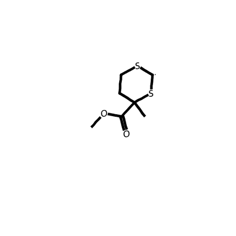 COC(=O)C1(C)CCS[CH]S1